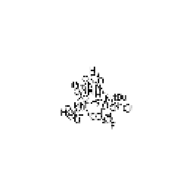 CC(NC(=O)C(NC(=O)CCCCCN1C(=O)C=CC1=O)C(C)C)C(=O)NCCCN(C(=O)CSCCC(=O)NC(CCC(=O)O)C(=O)O)C(c1cc(-c2cc(F)ccc2F)cn1Cc1ccccc1)C(C)(C)C